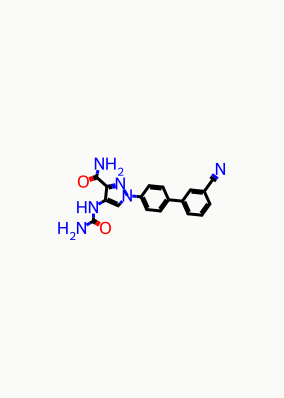 N#Cc1cccc(-c2ccc(-n3cc(NC(N)=O)c(C(N)=O)n3)cc2)c1